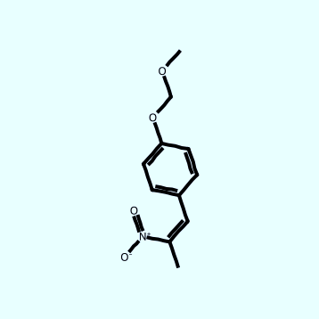 COCOc1ccc(C=C(C)[N+](=O)[O-])cc1